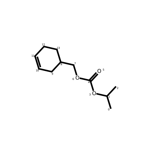 CC(C)OC(=O)OCC1CC=CCC1